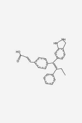 CC/C(=C(/c1ccc(/C=C/C(=O)O)cc1)c1ccc2c(c1)NNC2)c1ccccc1